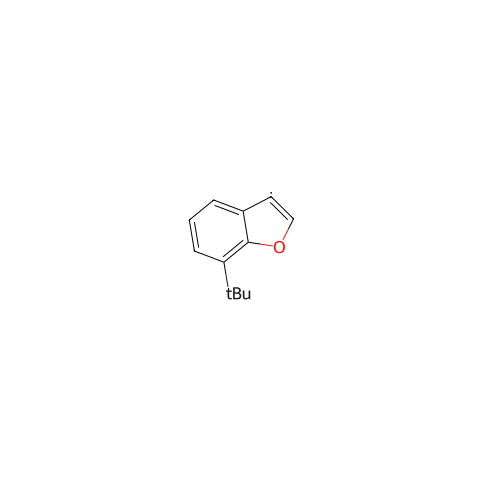 CC(C)(C)c1cccc2[c]coc12